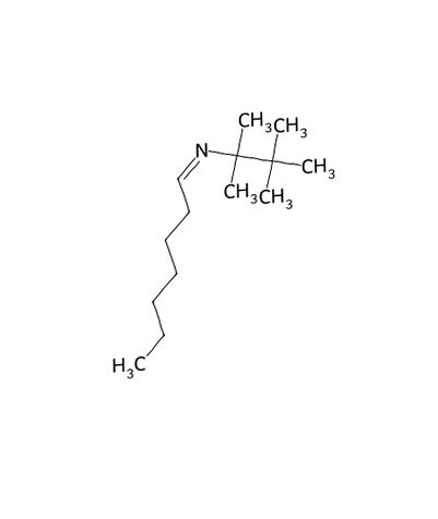 CCCCCC/C=N\C(C)(C)C(C)(C)C